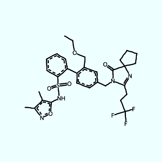 CCOCc1cc(CN2C(=O)C3(CCCC3)N=C2CCC(F)(F)F)ccc1-c1ccccc1S(=O)(=O)Nc1onc(C)c1C